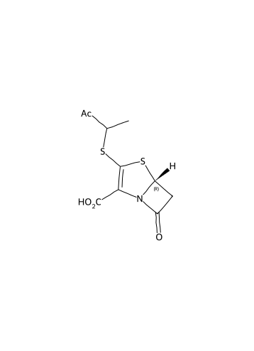 CC(=O)C(C)SC1=C(C(=O)O)N2C(=O)C[C@H]2S1